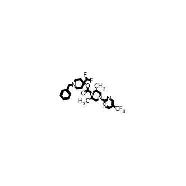 C[C@@H]1CN(c2ncc(C(F)(F)F)cn2)C[C@@H](C)N1C(=O)OC1(C(F)F)CCN(Cc2ccccc2)CC1